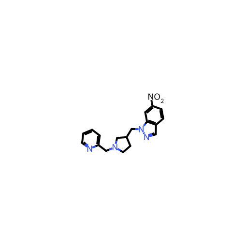 O=[N+]([O-])c1ccc2cnn(CC3CCN(Cc4ccccn4)C3)c2c1